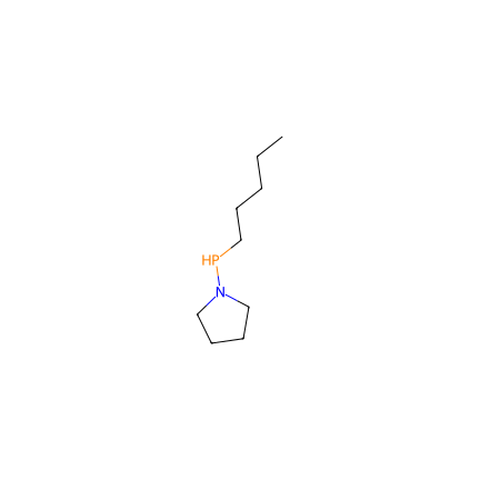 CCCCCPN1CCCC1